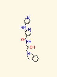 O=C(NC[C@H](O)CN1CCc2ccccc2C1)c1ccnc(Nc2ccncc2)c1